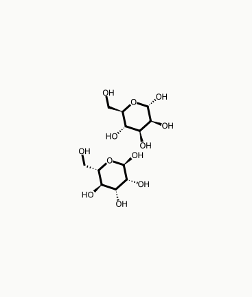 OC[C@@H]1O[C@@H](O)[C@H](O)[C@H](O)[C@H]1O.OC[C@H]1O[C@H](O)[C@@H](O)[C@@H](O)[C@@H]1O